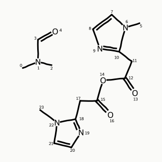 CN(C)C=O.Cn1ccnc1CC(=O)OC(=O)Cc1nccn1C